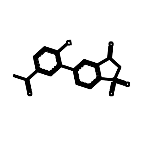 CC(=O)c1ccc(Cl)c(-c2ccc3c(c2)C(=O)CS3(=O)=O)c1